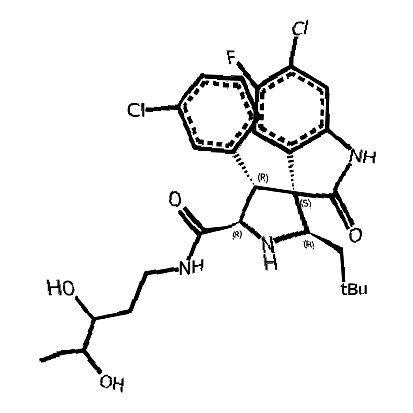 CC(O)C(O)CCNC(=O)[C@@H]1N[C@H](CC(C)(C)C)[C@]2(C(=O)Nc3cc(Cl)c(F)cc32)[C@H]1c1cccc(Cl)c1